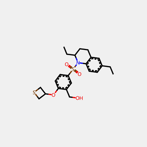 CCc1ccc2c(c1)CCC(CC)N2S(=O)(=O)c1ccc(OC2CSC2)c(CO)c1